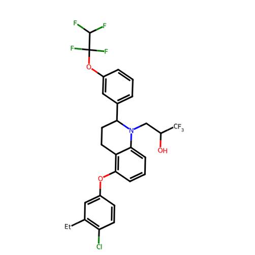 CCc1cc(Oc2cccc3c2CCC(c2cccc(OC(F)(F)C(F)F)c2)N3CC(O)C(F)(F)F)ccc1Cl